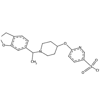 CC(c1ccc2c(c1)OCC2)N1CCC(Oc2ccc(S(C)(=O)=O)cn2)CC1